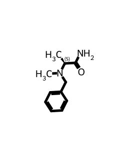 C[C@@H](C(N)=O)N(C)Cc1ccccc1